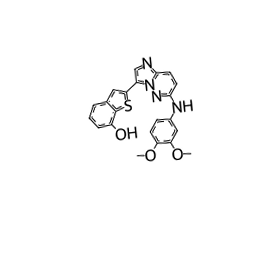 COc1ccc(Nc2ccc3ncc(-c4cc5cccc(O)c5s4)n3n2)cc1OC